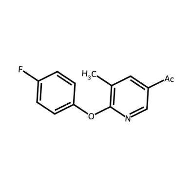 CC(=O)c1cnc(Oc2ccc(F)cc2)c(C)c1